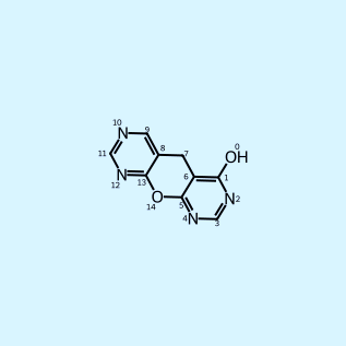 Oc1ncnc2c1Cc1cncnc1O2